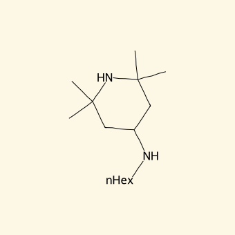 [CH2]CCCCCNC1CC(C)(C)NC(C)(C)C1